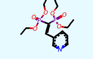 CCOP(=O)(OCC)C(=Cc1cccnc1)P(=O)(OCC)OCC